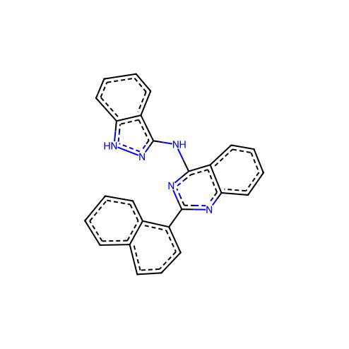 c1ccc2c(-c3nc(Nc4n[nH]c5ccccc45)c4ccccc4n3)cccc2c1